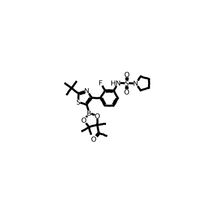 CC(=O)C1(C)OB(c2sc(C(C)(C)C)nc2-c2cccc(NS(=O)(=O)N3CCCC3)c2F)OC1(C)C